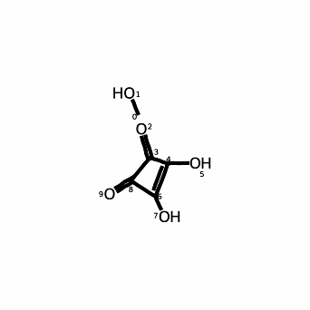 CO.O=c1c(O)c(O)c1=O